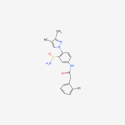 CCc1ccccc1CC(=O)Nc1ccc(-n2cc(C#N)c(C)n2)c([S+](N)[O-])c1